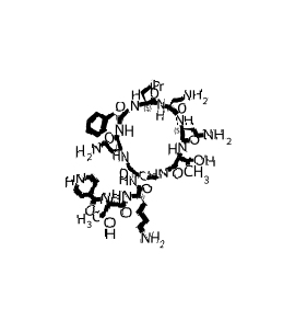 CC(C)C[C@@H]1NC(=O)[C@@H](Cc2ccccc2)NC(=O)[C@H](CCN)NC(=O)[C@@H](NC(=O)[C@H](CCCCN)NC(=O)[C@@H](NC(=O)C2CCNCC2)C(C)O)CCNC(=O)C(C(C)O)NC(=O)[C@H](CCN)NC(=O)[C@H](CCN)NC1=O